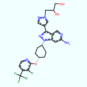 Nc1cc2c(cn1)c(-c1cnn(C[C@H](O)CO)c1)nn2[C@H]1CC[C@@H](Oc2nccc(C(F)(F)F)c2F)CC1